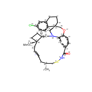 CO[C@H]1/C=C/C[C@@H](C)CSNC(=O)c2ccc3c(c2)N(C[C@@H]2CC[C@H]21)C[C@@]1(CCCc2cc(Cl)ccc21)CO3